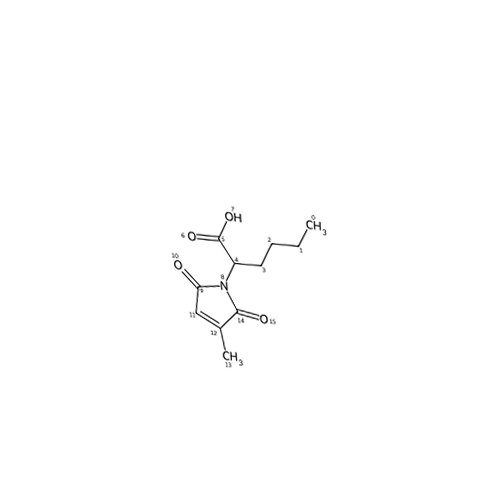 CCCCC(C(=O)O)N1C(=O)C=C(C)C1=O